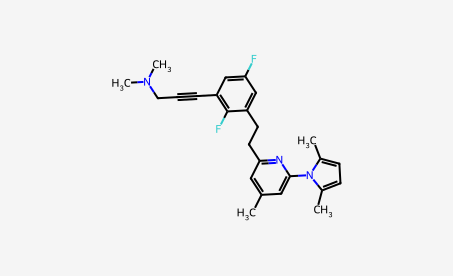 Cc1cc(CCc2cc(F)cc(C#CCN(C)C)c2F)nc(-n2c(C)ccc2C)c1